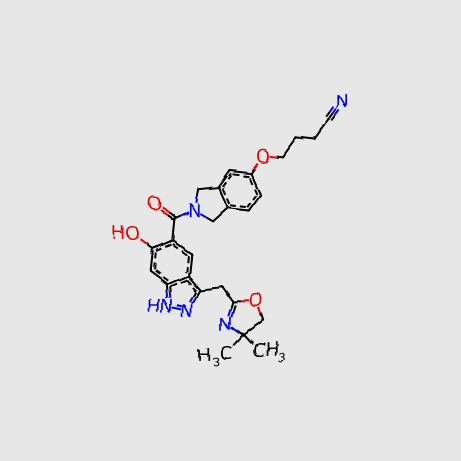 CC1(C)COC(Cc2n[nH]c3cc(O)c(C(=O)N4Cc5ccc(OCCCC#N)cc5C4)cc23)=N1